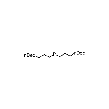 CCCCCCCCCCCCC[P]CCCCCCCCCCCCC